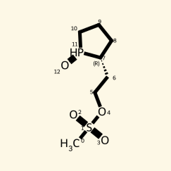 CS(=O)(=O)OCC[C@H]1CCC[PH]1=O